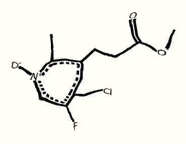 COC(=O)CCc1c(Cl)c(F)c[n+]([O-])c1C